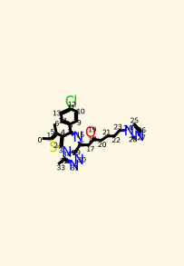 Cc1sc2c(c1C)C(c1ccc(Cl)cc1)=NC(CC(=O)CCCCn1ccnc1)c1nnc(C)n1-2